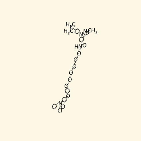 C=CC(C)(F)c1ccc(-n2c3ccc(C(=O)NCCOCCOCCOCCOCCOCCOc4ccc(Oc5ccc(N(Cc6ccccc6)C(=O)CCl)cc5)cc4)cc3c3cn(C)nc32)cc1